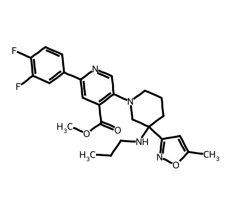 CCCNC1(c2cc(C)on2)CCCN(c2cnc(-c3ccc(F)c(F)c3)cc2C(=O)OC)C1